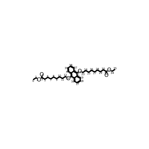 CCOC(=O)CCCCCCCCOc1c2ccccc2c(OCCCCCCCCC(=O)OCC)c2ccccc12